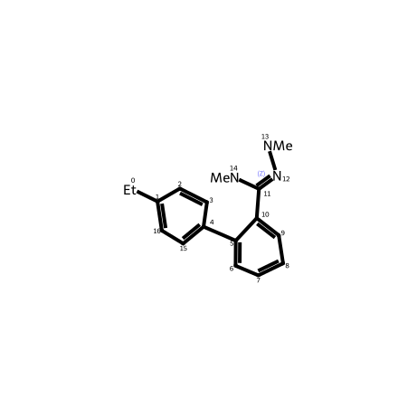 CCc1ccc(-c2ccccc2/C(=N/NC)NC)cc1